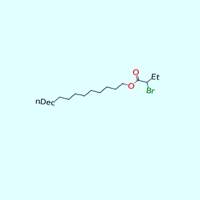 CCCCCCCCCCCCCCCCCCCOC(=O)C(Br)CC